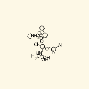 CC(CO)(CO)NCc1cc(Cl)c(OCC2(OCCCN3CCCCC3)C=CC=C(c3ccccc3)C2(C)Cl)cc1OCc1cncc(C#N)c1